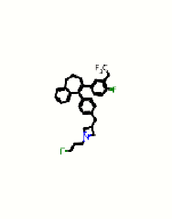 FCCCN1CC(Cc2ccc(C3=C(c4ccc(F)c(CC(F)(F)F)c4)CCCc4ccccc43)cc2)C1